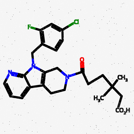 CC(C)(CCC(=O)N1CCc2c(n(Cc3ccc(Cl)cc3F)c3ncccc23)C1)CC(=O)O